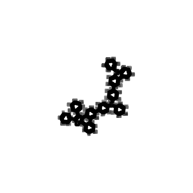 c1ccc(-c2oc3c4ccccc4c4cc(-c5ccc(N(c6ccccc6)c6ccc(-c7ccc8c(c7)c7ccccc7n8-c7ccccc7)cc6)cc5)ccc4c3c2-c2ccccc2)cc1